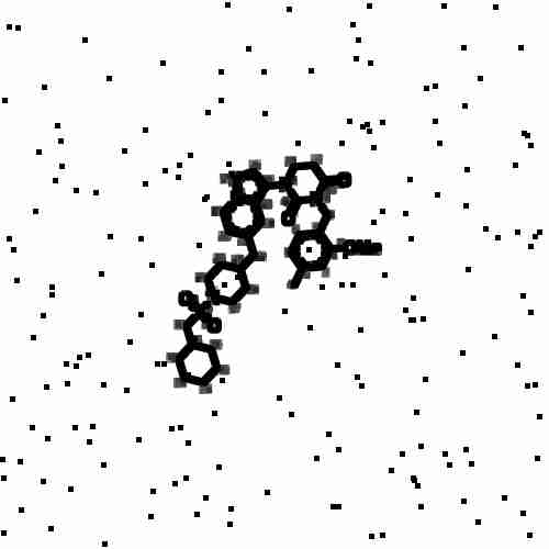 COc1cc(C)ccc1CN1C(=O)CCN(c2cnn3ccc(CC4CCN(S(=O)(=O)CC5CCCCC5)CC4)cc23)C1=O